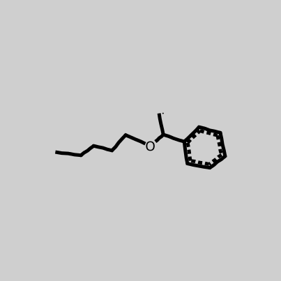 [CH2]C(OCCCCC)c1ccccc1